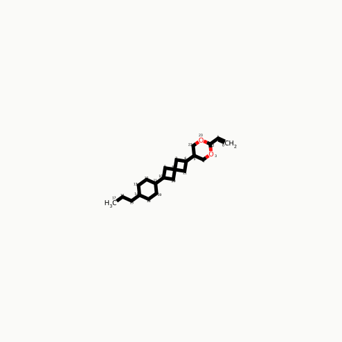 C=CC1OCC(C2CC3(CC(C4CCC(CCC)CC4)C3)C2)CO1